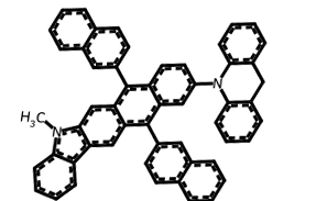 Cn1c2ccccc2c2cc3c(-c4ccc5ccccc5c4)c4cc(N5c6ccccc6Cc6ccccc65)ccc4c(-c4ccc5ccccc5c4)c3cc21